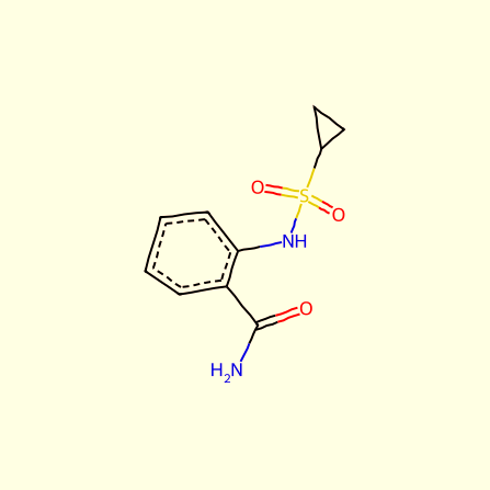 NC(=O)c1ccccc1NS(=O)(=O)C1CC1